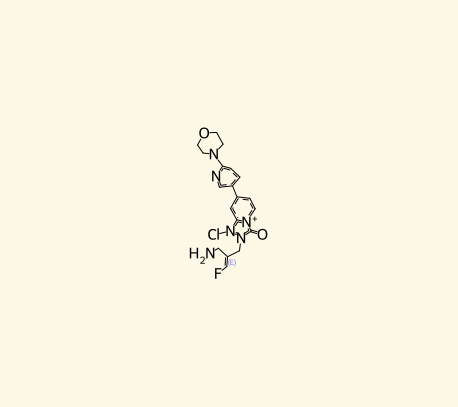 NC/C(=C\F)Cn1c(=O)[n+]2ccc(-c3ccc(N4CCOCC4)nc3)cc2n1Cl